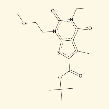 CCn1c(=O)c2c(C)c(C(=O)OC(C)(C)C)sc2n(CCOC)c1=O